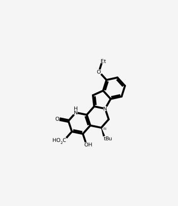 CCOc1cccc2c1cc1n2C[C@@H](C(C)(C)C)c2c-1[nH]c(=O)c(C(=O)O)c2O